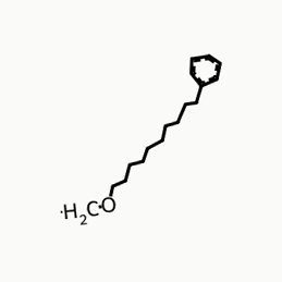 [CH2]OCCCCCCCCCCc1ccccc1